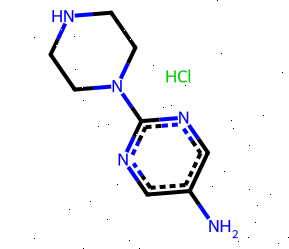 Cl.Nc1cnc(N2CCNCC2)nc1